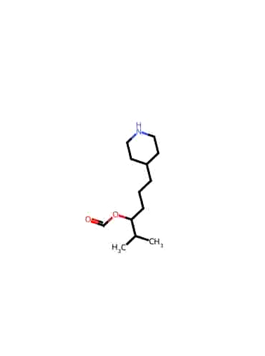 CC(C)C(CCCC1CCNCC1)O[C]=O